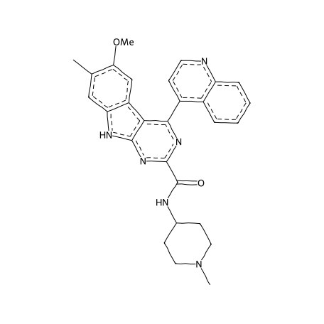 COc1cc2c(cc1C)[nH]c1nc(C(=O)NC3CCN(C)CC3)nc(-c3ccnc4ccccc34)c12